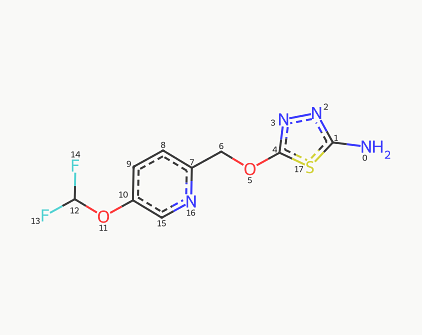 Nc1nnc(OCc2ccc(OC(F)F)cn2)s1